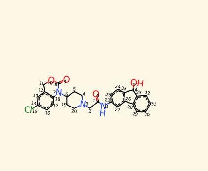 O=C(CN1CCC(N2C(=O)OCc3cc(Cl)ccc32)CC1)Nc1ccc2c(c1)-c1ccccc1C2O